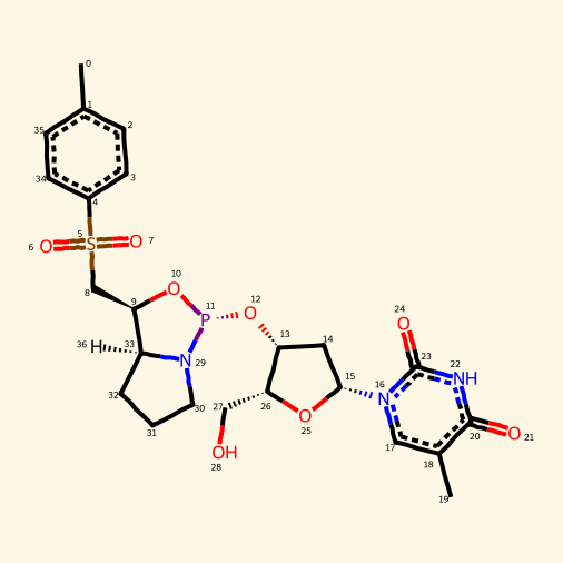 Cc1ccc(S(=O)(=O)C[C@H]2O[P@](O[C@@H]3C[C@H](n4cc(C)c(=O)[nH]c4=O)O[C@@H]3CO)N3CCC[C@@H]23)cc1